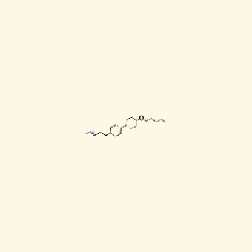 C/C=C/CC[C@H]1CC[C@H]([C@H]2CC[C@H](OCCCCC)CC2)CC1